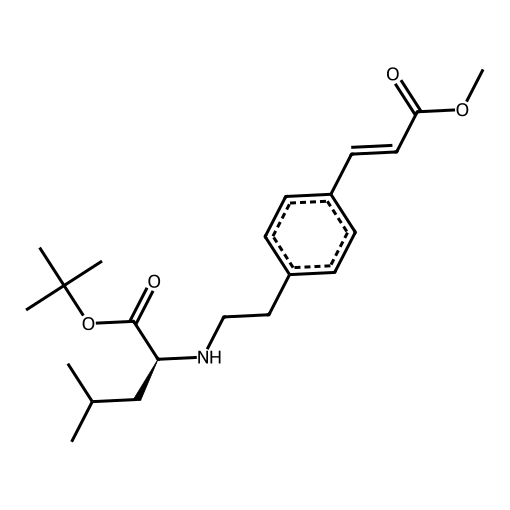 COC(=O)C=Cc1ccc(CCN[C@@H](CC(C)C)C(=O)OC(C)(C)C)cc1